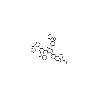 CC12C=CC=CC1c1cc(-c3nc(-c4ccc5oc6ccccc6c5c4)nc(-c4cc(-c5cccc6oc7ccccc7c56)cc5oc6ccccc6c45)n3)ccc1C=C2